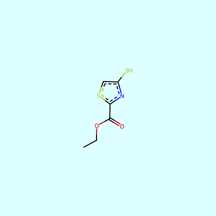 CCOC(=O)c1nc(S)cs1